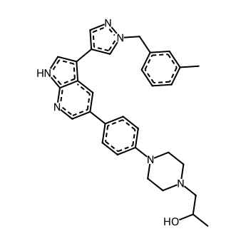 Cc1cccc(Cn2cc(-c3c[nH]c4ncc(-c5ccc(N6CCN(CC(C)O)CC6)cc5)cc34)cn2)c1